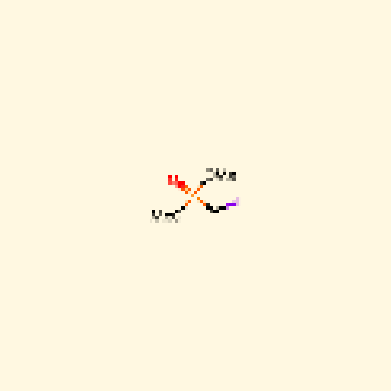 COP(=O)(CI)OC